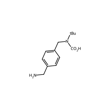 CC(C)(C)N(Cc1ccc(CN)cc1)C(=O)O